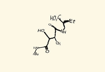 CCCCNC(=O)C(O)C(O)C(=O)NC(CC)C(=O)O